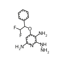 NNc1nc(N)cc(OC(c2ccccc2)C(F)F)c1N